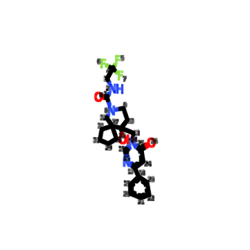 O=C(NCC(F)(F)F)N1CCC(O)(Cn2cnc(-c3ccccc3)cc2=O)C2(CCCC2)C1